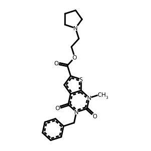 Cn1c(=O)n(Cc2ccccc2)c(=O)c2cc(C(=O)OCCN3CCCC3)sc21